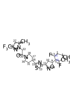 C#C/C=C(F)\C(=C(/C)F)C1CC(c2csc(C3CCN(C(=O)Cn4nc(C(F)(F)F)cc4C)CC3)n2)=NO1